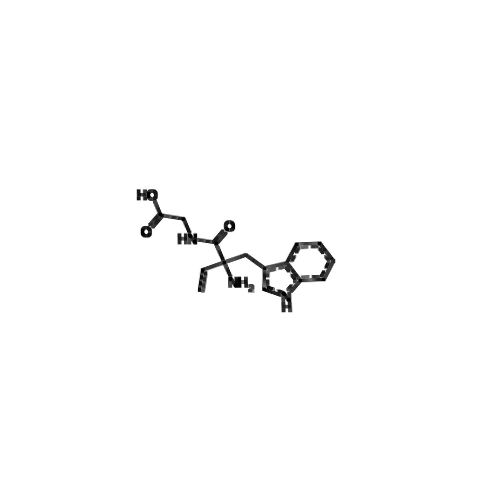 C=CC(N)(Cc1c[nH]c2ccccc12)C(=O)NCC(=O)O